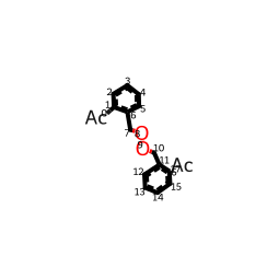 CC(=O)c1ccccc1COOCc1ccccc1C(C)=O